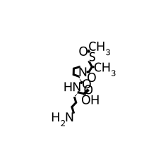 CC(=O)SCC(C)C(=O)N1CCC[C@H]1C(=O)N[C@@H](CCCCN)C(=O)O